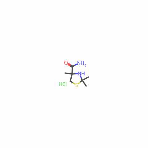 CC1(C)NC(C)(C(N)=O)CS1.Cl